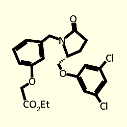 CCOC(=O)COc1cccc(CN2C(=O)CC[C@@H]2COc2cc(Cl)cc(Cl)c2)c1